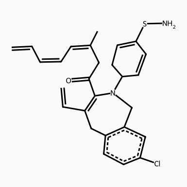 C=C/C=C\C=C(\C)CC(=O)C1=C(C=C)Cc2ccc(Cl)cc2CN1C1C=CC(SN)=CC1